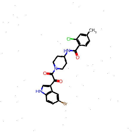 Cc1ccc(C(=O)NC2CCN(C(=O)C(=O)c3c[nH]c4ccc(Br)cc34)CC2)c(Cl)c1